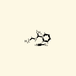 CCOC(C)[n+]1ccccc1.N#C[S-]